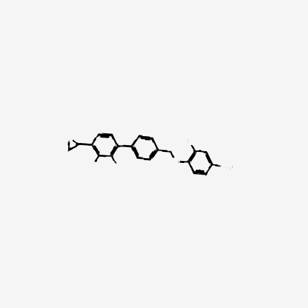 COc1ccc(OCc2ccc(-c3ccc(C4CO4)c(F)c3F)cc2)c(F)c1